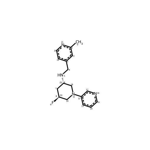 Cc1cc(CN[C@H]2C[C@H](F)CN(c3cccnc3)C2)ccn1